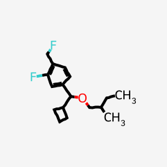 CCC(C)COC(c1ccc(CF)c(F)c1)C1CCC1